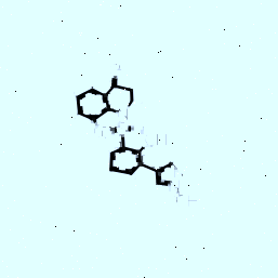 Cc1cccc2c1N(S(=O)(=O)c1cccc(-c3cnn(C)c3)c1C)CCC2=O